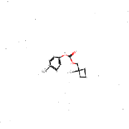 CCCC1(COC(=O)Oc2ccc([N+](=O)[O-])cc2)CCC1